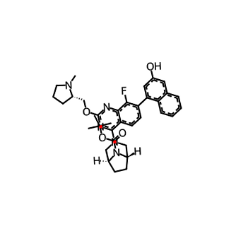 CN1CCC[C@H]1COc1nc(N2C[C@@H]3CC[C@@H](C2)N3C(=O)OC(C)(C)C)c2ccc(-c3cc(O)cc4ccccc34)c(F)c2n1